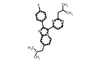 CC(C)Cc1nccc(-c2c(-c3ccc(F)cc3)nc3cc(CN(C)C)ccn23)n1